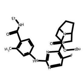 CCNC(=O)c1ccc(Nc2ncc(F)c(N3CC4CCC(C3)N4C(=O)OC(C)(C)C)n2)cc1C